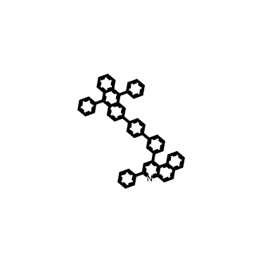 c1ccc(-c2cc(-c3cccc(-c4ccc(-c5ccc6c(-c7ccccc7)c7ccccc7c(-c7ccccc7)c6c5)cc4)c3)c3c(ccc4ccccc43)n2)cc1